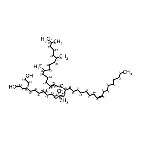 CCCCCCCC/C=C\CCCCCCCC(OC/C=C(\C)CCCC(C)CCCC(C)CCCC(C)C)O[Si](C)(C)OCCCCCCN(CCO)CCO